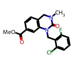 COC(=O)c1ccc2c(c1)N(Cc1c(F)cccc1Cl)C(=O)N(C)C2